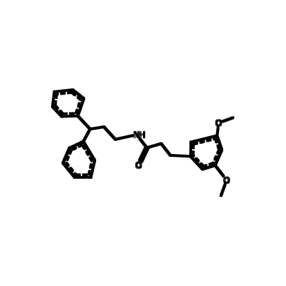 COc1cc(CCC(=O)NCCC(c2ccccc2)c2ccccc2)cc(OC)c1